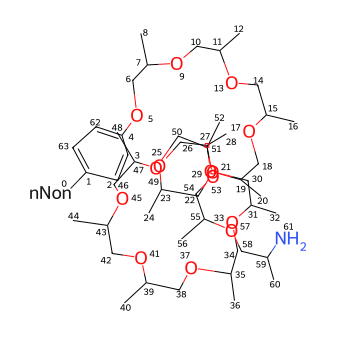 CCCCCCCCCc1ccc(OCC(C)OCC(C)OCC(C)OCC(C)OCC(C)OCC(C)OCC(C)OCC(C)OCC(C)OCC(C)OCC(C)OCC(C)OCC(C)OCC(C)N)cc1